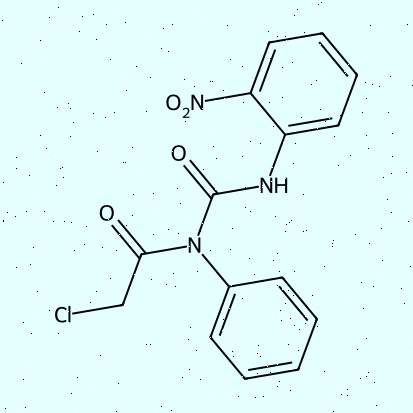 O=C(CCl)N(C(=O)Nc1ccccc1[N+](=O)[O-])c1ccccc1